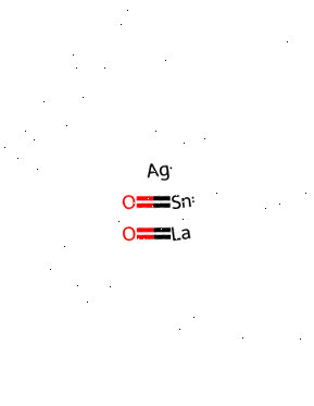 [Ag].[O]=[La].[O]=[Sn]